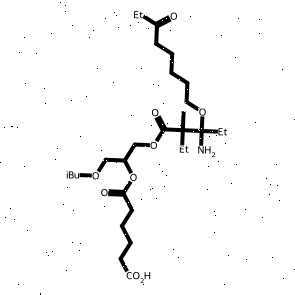 CCC(=O)CCCCCOC(N)(CC)C(C)(CC)C(=O)OCC(COC(C)CC)OC(=O)CCCCC(=O)O